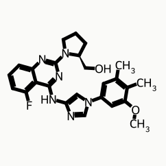 COc1cc(-n2cnc(Nc3nc(N4CCC[C@H]4CO)nc4cccc(F)c34)c2)cc(C)c1C